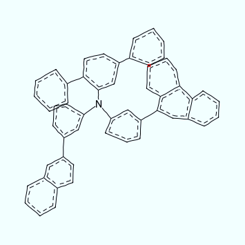 c1ccc(-c2ccc(-c3ccccc3)c(N(c3cccc(-c4ccc5ccccc5c4)c3)c3cccc(-c4cc5ccccc5c5ccccc45)c3)c2)cc1